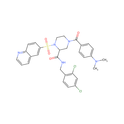 CN(C)c1ccc(C(=O)N2CCN(S(=O)(=O)c3ccc4ncccc4c3)C(C(=O)NCc3ccc(Cl)cc3Cl)C2)cc1